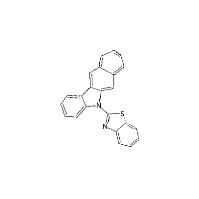 c1ccc2cc3c(cc2c1)c1ccccc1n3-c1nc2ccccc2s1